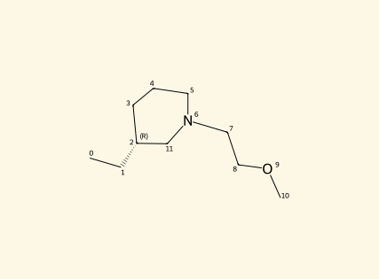 CC[C@@H]1CCCN(CCOC)C1